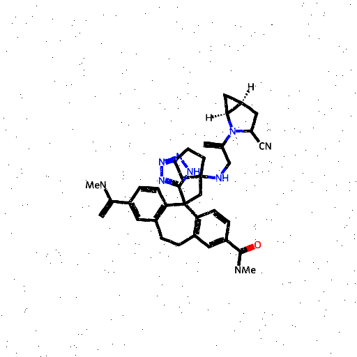 C=C(NC)c1ccc2c(c1)CCc1cc(C(=O)NC)ccc1C2(CC1(NCC(=C)N2C(C#N)C[C@@H]3C[C@@H]32)CCCC1)c1nnn[nH]1